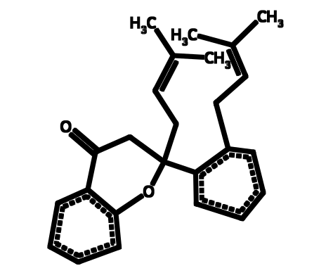 CC(C)=CCc1ccccc1C1(CC=C(C)C)CC(=O)c2ccccc2O1